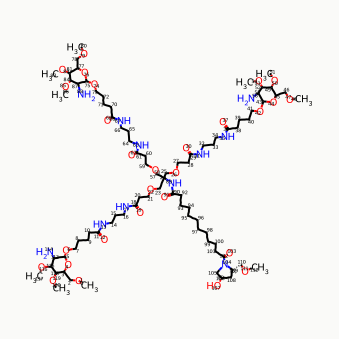 COCC1OC(OCCCCC(=O)NCCCNC(=O)CCOCC(COCCC(=O)NCCCNC(=O)CCCCOC2OC(COC)C(OC)C(OC)C2N)(COCCC(=O)NCCCNC(=O)CCCCOC2OC(COC)C(OC)C(OC)C2N)NC(=O)CCCCCCCCCCC(=O)N2C[C@H](O)C[C@H]2COC)C(N)C(OC)C1OC